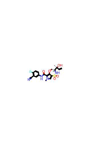 C=C[C@](C)(O)[C@H]1COc2c(cn(C)c2C(=O)Nc2ccc(F)c(C#N)c2)S(=O)(=O)N1